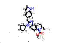 COC(=O)N1c2ccc3c(nc(Cc4ccc5[nH]ccc5c4)n3C3CCCCC3)c2CC[C@@H]1C